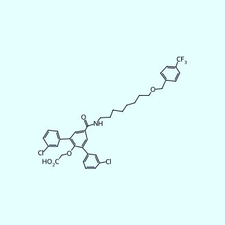 O=C(O)COc1c(-c2cccc(Cl)c2)cc(C(=O)NCCCCCCCCOCc2ccc(C(F)(F)F)cc2)cc1-c1cccc(Cl)c1